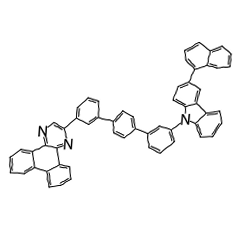 c1cc(-c2ccc(-c3cccc(-n4c5ccccc5c5cc(-c6cccc7ccccc67)ccc54)c3)cc2)cc(-c2cnc3c4ccccc4c4ccccc4c3n2)c1